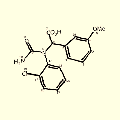 COc1cccc(C(C(=O)O)N(C(N)=O)c2ccccc2Cl)c1